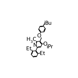 CCc1cccc(CC)c1-c1cc(OC(C)C)c(COc2ccc(C(C)CC)cc2)c(C)n1